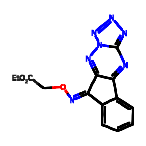 CCOC(=O)CON=C1c2ccccc2-c2nc3nnnn3nc21